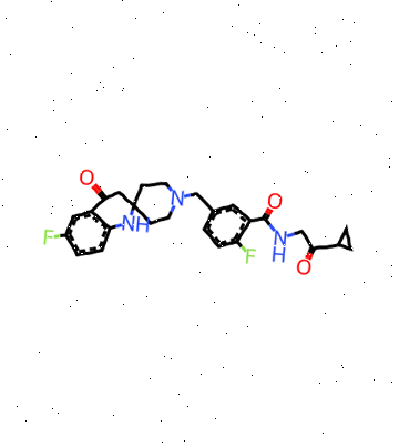 O=C(NCC(=O)C1CC1)c1cc(CN2CCC3(CC2)CC(=O)c2cc(F)ccc2N3)ccc1F